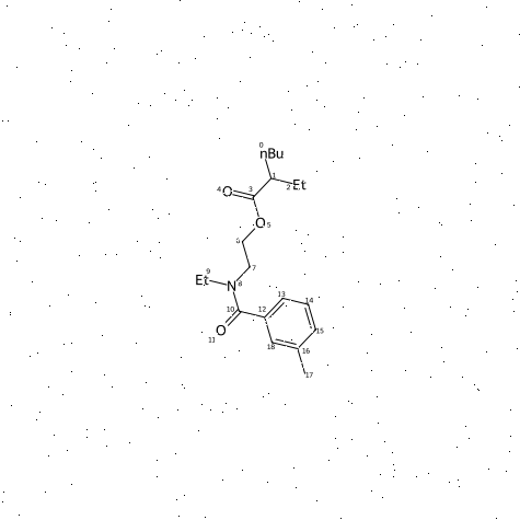 CCCCC(CC)C(=O)OCCN(CC)C(=O)c1cccc(C)c1